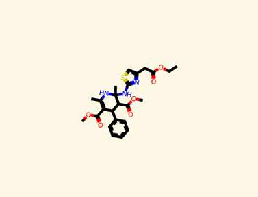 CCOC(=O)Cc1csc(NC2(C)NC(C)=C(C(=O)OC)C(c3ccccc3)C2C(=O)OC)n1